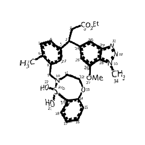 CCOC(=O)CC(c1ccc(C)c(CN2CCOc3ccccc3S2(O)O)c1)c1cc(OC)c2c(c1)nnn2C